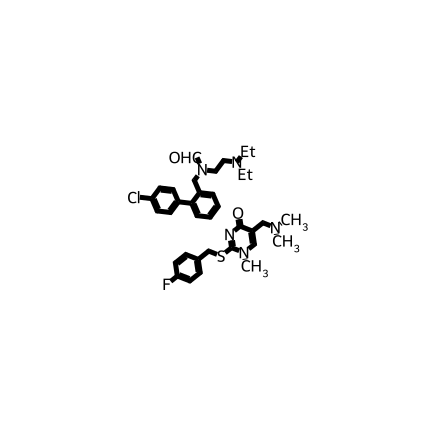 CCN(CC)CCN(C=O)Cc1ccccc1-c1ccc(Cl)cc1.CN(C)Cc1cn(C)c(SCc2ccc(F)cc2)nc1=O